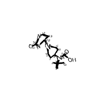 CC(C)(C)N(C(=O)O)C1CCN(c2ccnc(Cl)n2)CC1